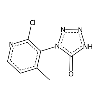 Cc1ccnc(Cl)c1-n1nn[nH]c1=O